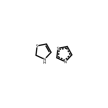 C1=CSCN1.c1cscn1